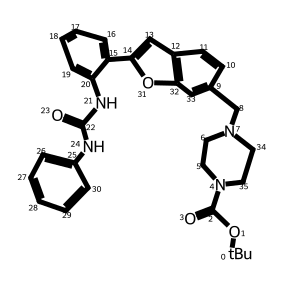 CC(C)(C)OC(=O)N1CCN(Cc2ccc3cc(-c4ccccc4NC(=O)Nc4ccccc4)oc3c2)CC1